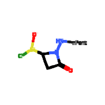 CCCCCNN1C(=O)CC1[S+]([O-])Cl